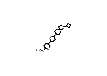 COc1ccc(-c2ccc(N3CCC4(CC3)CCN(C3CCC3)C4)nn2)cn1